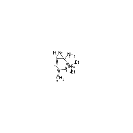 C=C1C=CC(N)(N)C=C1.CCNCC